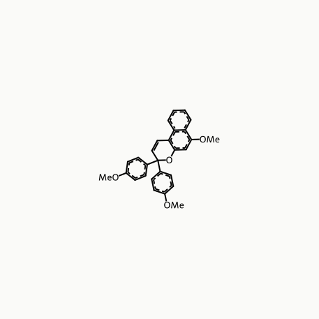 COc1ccc(C2(c3ccc(OC)cc3)C=Cc3c(cc(OC)c4ccccc34)O2)cc1